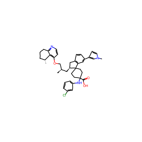 C[C@@H](COc1ccnc2c1[C@H](C)CCC2)C[C@H]1Cc2ccc(-c3ccn(C)c3)cc2C12CCC(Nc1cccc(Cl)c1)(C(=O)O)CC2